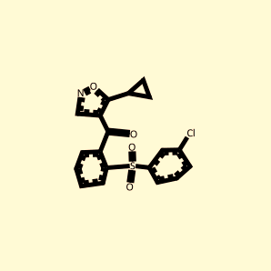 O=C(c1ccccc1S(=O)(=O)c1cccc(Cl)c1)c1cnoc1C1CC1